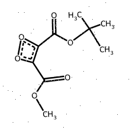 COC(=O)c1ooc1C(=O)OC(C)(C)C